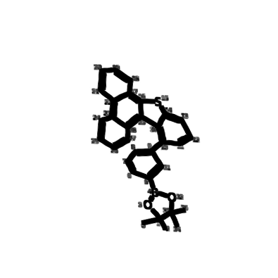 CC1(C)OB(c2cccc(-c3cccc4sc5c6ccccc6c6ccccc6c5c34)c2)OC1(C)C